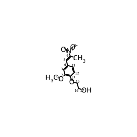 COc1cc(/C=C(\C)[N+](=O)[O-])ccc1OCCO